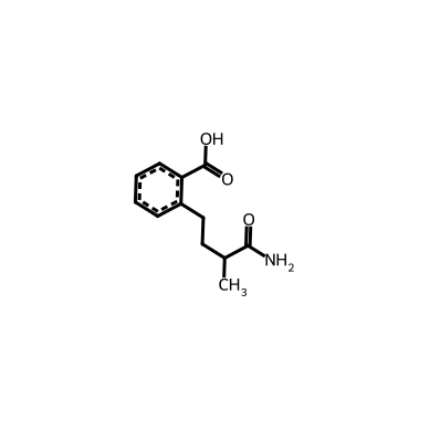 CC(CCc1ccccc1C(=O)O)C(N)=O